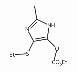 CCOC(=O)Oc1[nH]c(C)nc1SCC